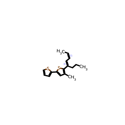 C/C=C\C=C(/CCC)c1sc(-c2cccs2)cc1C